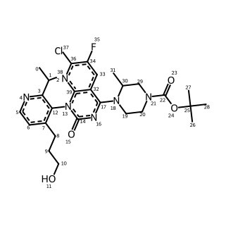 CC(C)c1nccc(CCCO)c1-n1c(=O)nc(N2CCN(C(=O)OC(C)(C)C)CC2C)c2cc(F)c(Cl)nc21